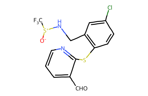 O=Cc1cccnc1Sc1ccc(Cl)cc1CN[S+]([O-])C(F)(F)F